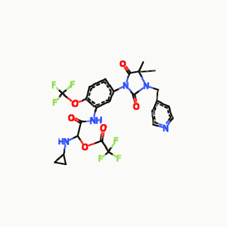 CC1(C)C(=O)N(c2ccc(OC(F)(F)F)c(NC(=O)C(NC3CC3)OC(=O)C(F)(F)F)c2)C(=O)N1Cc1ccncc1